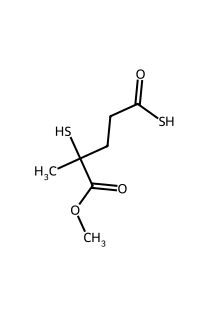 COC(=O)C(C)(S)CCC(=O)S